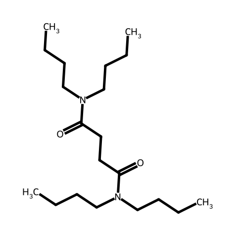 CCCCN(CCCC)C(=O)CCC(=O)N(CCCC)CCCC